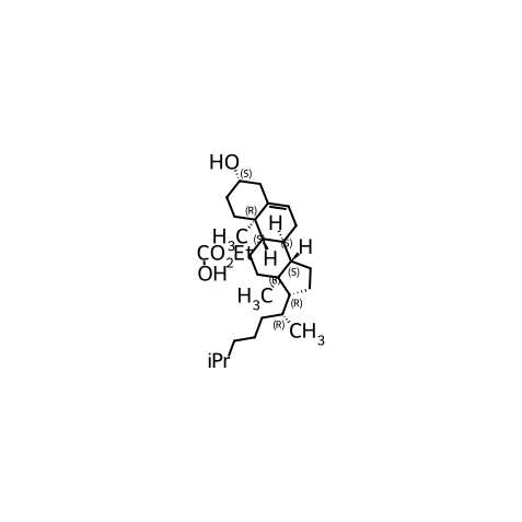 CC(C)CCC[C@@H](C)[C@H]1CC[C@H]2[C@@H]3CC=C4C[C@@H](O)CC[C@]4(C)[C@H]3CC[C@]12C.CCOC(=O)O